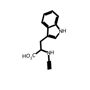 C#CNC(Cc1c[nH]c2ccccc12)C(=O)O